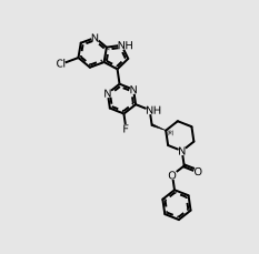 O=C(Oc1ccccc1)N1CCC[C@H](CNc2nc(-c3c[nH]c4ncc(Cl)cc34)ncc2F)C1